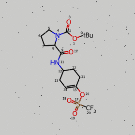 CC(C)(C)OC(=O)N1CCCC1C(=O)NC1CC=C(OS(=O)(=O)C(F)(F)F)CC1